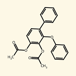 CC(=O)Oc1ccc(-c2ccccc2)c(Oc2ccccc2)c1OC(C)=O